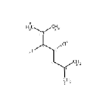 CC(C)C[C@@H](Cl)C(F)N(C)C